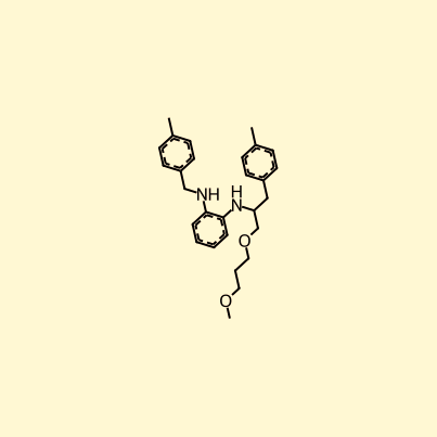 COCCCOCC(Cc1ccc(C)cc1)Nc1ccccc1NCc1ccc(C)cc1